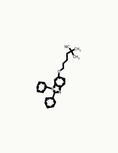 CC(C)(C#N)CCCCOc1ccc2nc(-c3ccccc3)n(-c3ccccc3)c2c1